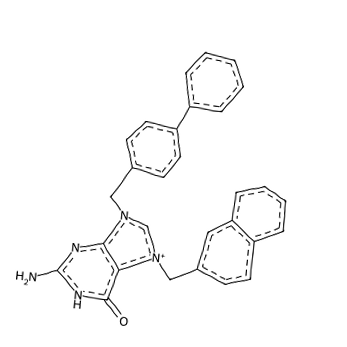 Nc1nc2c(c(=O)[nH]1)[n+](Cc1ccc3ccccc3c1)cn2Cc1ccc(-c2ccccc2)cc1